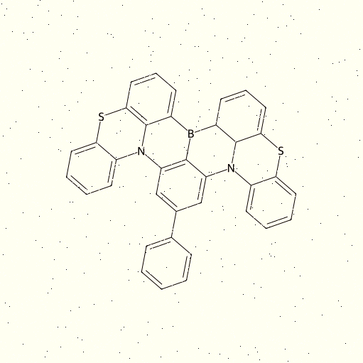 C1=CC2B3c4cccc5c4N(c4ccccc4S5)c4cc(-c5ccccc5)cc(c43)N3c4ccccc4SC(=C1)C23